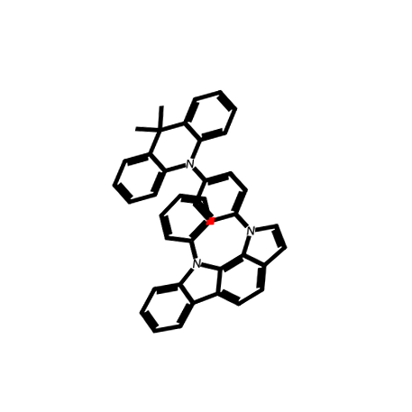 CC1(C)c2ccccc2N(c2ccc(-n3ccc4ccc5c6ccccc6n(-c6ccccc6)c5c43)cc2)c2ccccc21